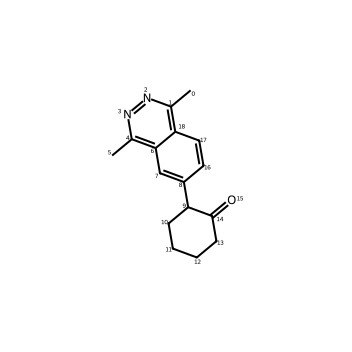 Cc1nnc(C)c2cc(C3CCCCC3=O)ccc12